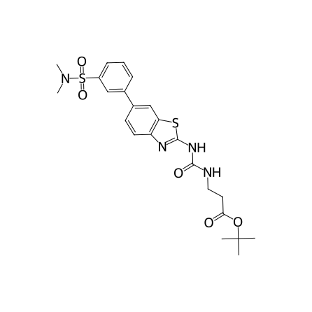 CN(C)S(=O)(=O)c1cccc(-c2ccc3nc(NC(=O)NCCC(=O)OC(C)(C)C)sc3c2)c1